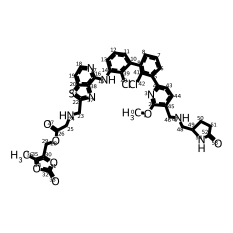 COc1nc(-c2cccc(-c3cccc(Nc4nccc5sc(CNCC(=O)OCc6oc(=O)oc6C)nc45)c3Cl)c2Cl)ccc1CNCC1CCC(=O)N1